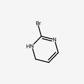 BrC1=NC=CCN1